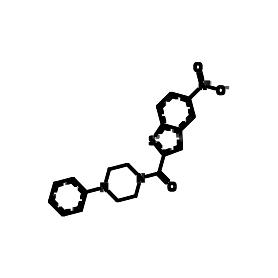 O=C(c1cc2cc([N+](=O)[O-])ccc2s1)N1CCN(c2ccccc2)CC1